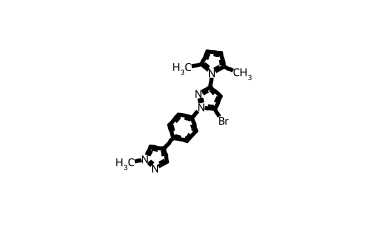 Cc1ccc(C)n1-c1cc(Br)n(-c2ccc(-c3cnn(C)c3)cc2)n1